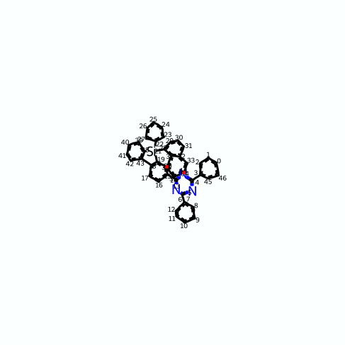 c1ccc(-c2nc(-c3ccccc3)nc(-c3ccc4c(c3)[Si](c3ccccc3)(c3cccc5ccccc35)c3ccccc3-4)n2)cc1